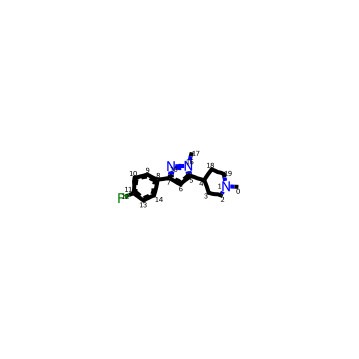 CN1CCC(c2cc(-c3ccc(F)cc3)nn2C)CC1